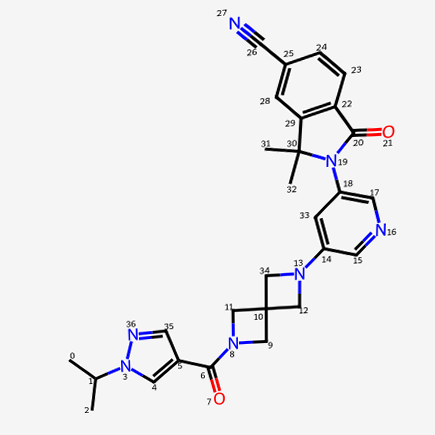 CC(C)n1cc(C(=O)N2CC3(C2)CN(c2cncc(N4C(=O)c5ccc(C#N)cc5C4(C)C)c2)C3)cn1